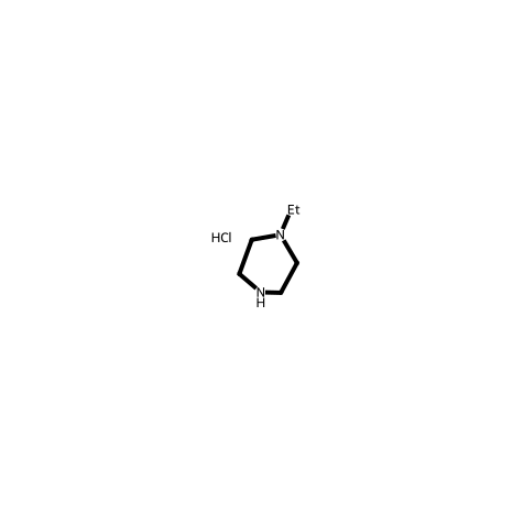 CCN1CCNCC1.Cl